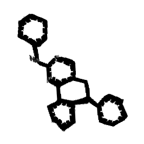 c1ccc(Nc2ncc3c(n2)-c2ccccc2C(c2ccccc2)C3)cc1